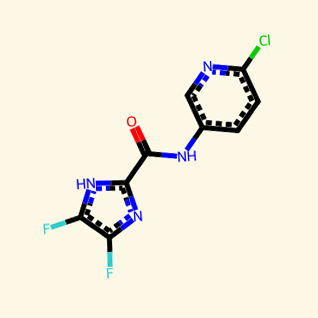 O=C(Nc1ccc(Cl)nc1)c1nc(F)c(F)[nH]1